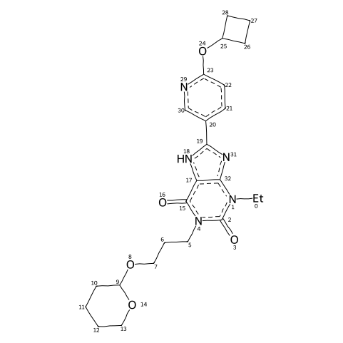 CCn1c(=O)n(CCCOC2CCCCO2)c(=O)c2[nH]c(-c3ccc(OC4CCC4)nc3)nc21